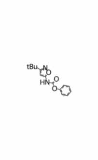 CC(C)(C)c1cc(NC(=O)Oc2ccccc2)on1